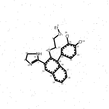 CCOCCOc1c(C2=NCCN2)cc2ccccc2c1-c1ccc(Cl)c(Cl)c1